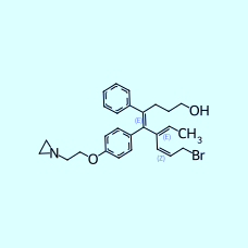 C/C=C(\C=C/CBr)C(=C(\CCCO)c1ccccc1)/c1ccc(OCCN2CC2)cc1